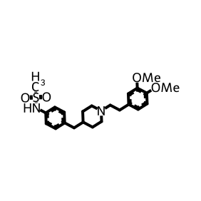 COc1ccc(CCN2CCC(Cc3ccc(NS(C)(=O)=O)cc3)CC2)cc1OC